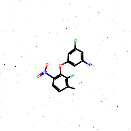 Cc1ccc([N+](=O)[O-])c(Oc2cc(N)cc(Cl)c2)c1F